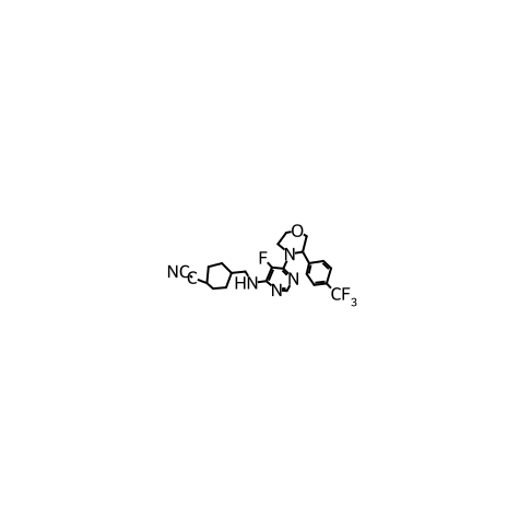 N#CCC1CCC(CNc2ncnc(N3CCOCC3c3ccc(C(F)(F)F)cc3)c2F)CC1